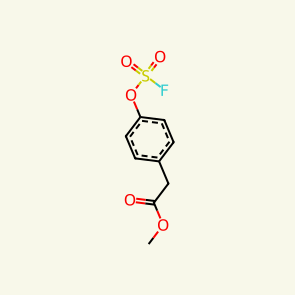 COC(=O)Cc1ccc(OS(=O)(=O)F)cc1